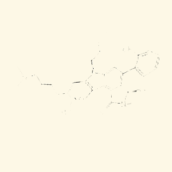 CCCCn1c2cc(CCCCN(C)C)c(O)cc2c2c3c(c(-c4ccccc4Cl)cc21)C(=O)NC3=O